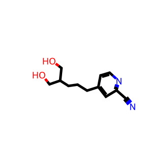 N#Cc1cc(CCCC(CO)CO)ccn1